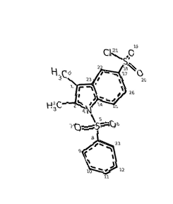 Cc1c(C)n(S(=O)(=O)c2ccccc2)c2ccc(S(=O)(=O)Cl)cc12